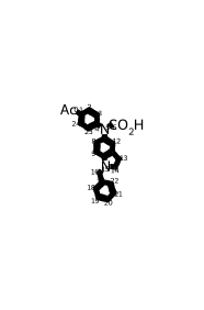 CC(=O)c1ccc(N(C(=O)O)c2ccc3c(c2)CCN3Cc2ccccc2)cc1